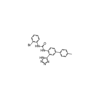 Cc1ccc(-c2ccc(NC(=O)Nc3ccccc3Br)c(-c3nnn[nH]3)c2)cc1